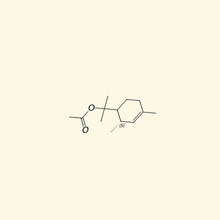 CC(=O)OC(C)(C)C1CCC(C)=C[C@@H]1C